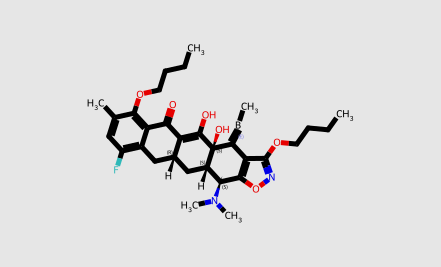 C/B=C1\c2c(OCCCC)noc2[C@@H](N(C)C)[C@@H]2C[C@@H]3Cc4c(F)cc(C)c(OCCCC)c4C(=O)C3=C(O)[C@]12O